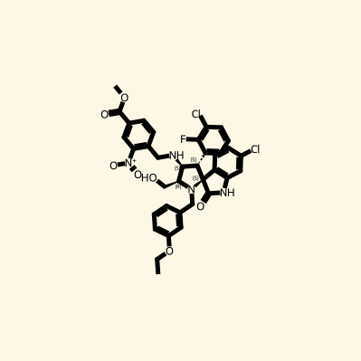 CCOc1cccc(CN2[C@@H](CO)[C@@H](NCc3ccc(C(=O)OC)cc3[N+](=O)[O-])[C@H](c3cccc(Cl)c3F)[C@]23C(=O)Nc2cc(Cl)ccc23)c1